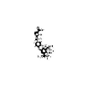 CC(C)(C)c1cc(SC2CCN(S(=O)(=O)c3ncc(C(=O)O)[nH]3)CC2)cc(C(C)(C)C)c1O